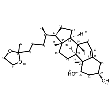 C[C@H](CCCC1(C)OCCO1)[C@H]1CC[C@H]2[C@@H]3CC=C4C[C@@H](O)C[C@H](O)[C@]4(C)[C@H]3CC[C@]12C